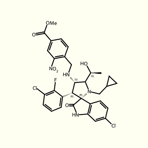 COC(=O)c1ccc(CN[C@@H]2C([C@H](C)O)N(CC3CC3)[C@]3(C(=O)Nc4cc(Cl)ccc43)[C@@H]2c2cccc(Cl)c2F)c([N+](=O)[O-])c1